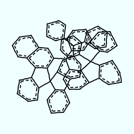 c1ccc(C(c2ccccc2)c2ccc3c(c2)C2(c4ccccc4-3)c3ccccc3-c3c2c(N(c2ccccc2)c2cccc4c2C(c2ccccc2)(c2ccccc2)c2ccccc2-4)cc2ccccc32)cc1